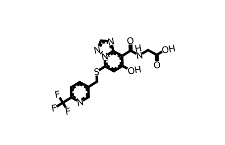 O=C(O)CNC(=O)c1c(O)cc(SCc2ccc(C(F)(F)F)nc2)n2ncnc12